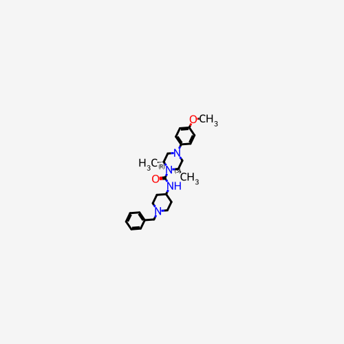 COc1ccc(N2C[C@@H](C)N(C(=O)NC3CCN(Cc4ccccc4)CC3)[C@@H](C)C2)cc1